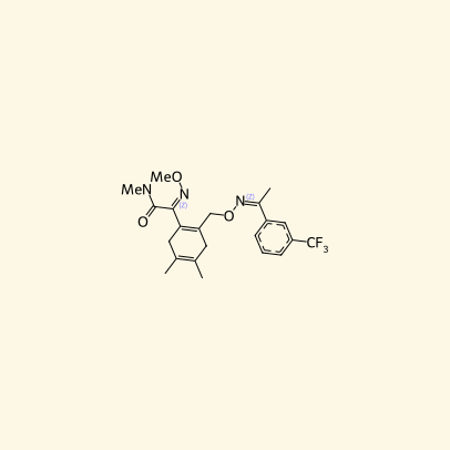 CNC(=O)/C(=N\OC)C1=C(CO/N=C(/C)c2cccc(C(F)(F)F)c2)CC(C)=C(C)C1